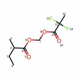 CCC(C)C(=O)OCOC(=O)C(C)(F)F